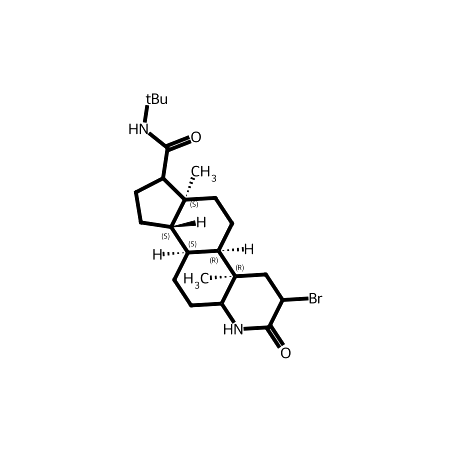 CC(C)(C)NC(=O)C1CC[C@H]2[C@@H]3CCC4NC(=O)C(Br)C[C@]4(C)[C@@H]3CC[C@]12C